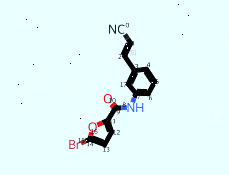 N#C/C=C/c1cccc(NC(=O)c2ccc(Br)o2)c1